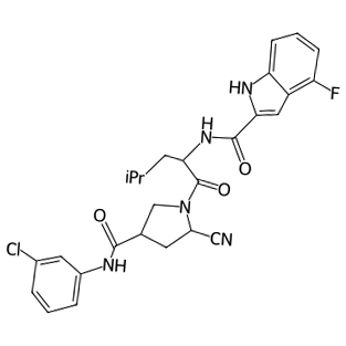 CC(C)CC(NC(=O)c1cc2c(F)cccc2[nH]1)C(=O)N1CC(C(=O)Nc2cccc(Cl)c2)CC1C#N